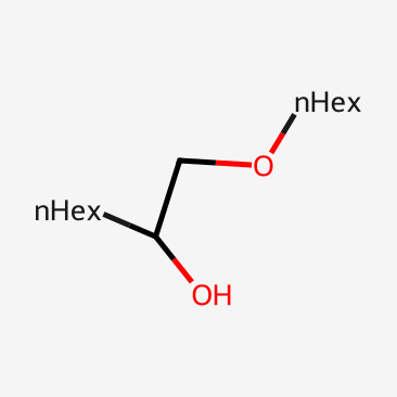 CCCCCCOCC(O)CCCCCC